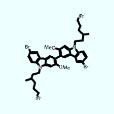 COc1cc2c(cc1-c1cc3c4cc(Br)ccc4n(CCC(C)CCCC(C)C)c3cc1OC)c1cc(Br)ccc1n2CCC(C)CCCC(C)C